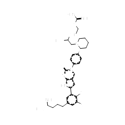 CC(C)CN1[C@H](CCSC(=N)N)CCC[C@H]1c1ccc(-n2cc3cc(-c4cc(CCC[C@H](C)N)cc(Cl)c4F)[nH]c3nc2=O)cc1